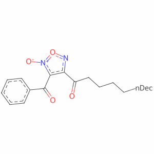 CCCCCCCCCCCCCCC(=O)c1no[n+]([O-])c1C(=O)c1ccccc1